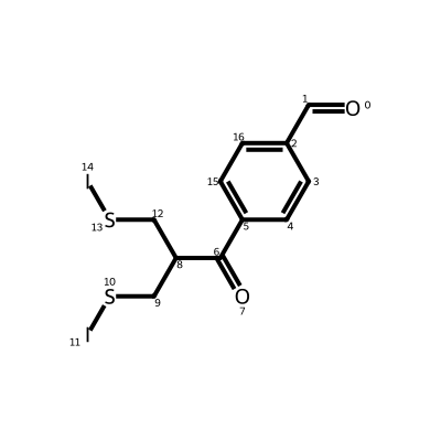 O=Cc1ccc(C(=O)C(CSI)CSI)cc1